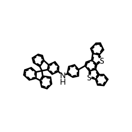 c1ccc2c(c1)-c1ccccc1C21c2ccccc2-c2ccc(Nc3ccc(-c4cc5c6ccccc6sc5c5c4sc4ccccc45)cc3)cc21